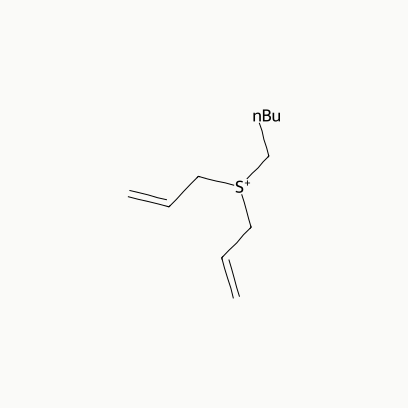 C=CC[S+](CC=C)CCCCC